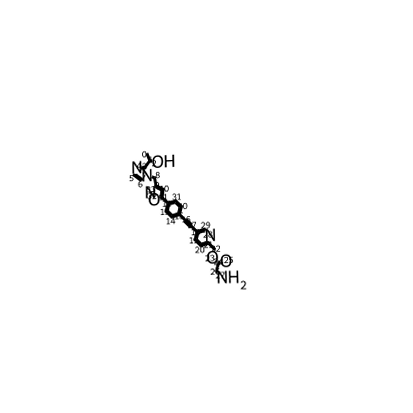 CC(O)c1nccn1Cc1cc(-c2ccc(C#Cc3ccc(COC(=O)CN)nc3)cc2)on1